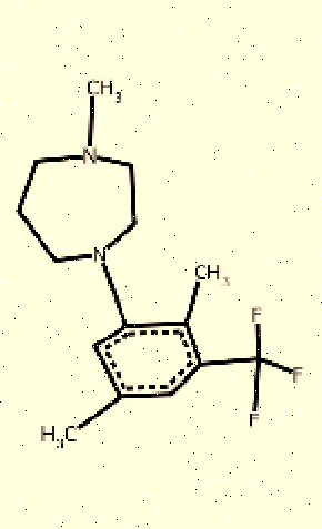 Cc1cc(N2CCCN(C)CC2)c(C)c(C(F)(F)F)c1